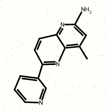 Cc1cc(N)nc2ccc(-c3cccnc3)nc12